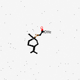 COC(=O)CSC1(C)CCC(=C(C)C)CC1